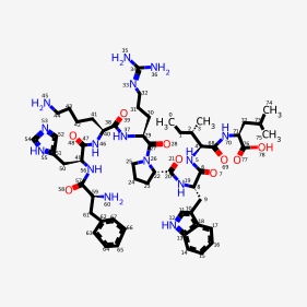 CC[C@H](C)[C@H](NC(=O)[C@H](Cc1c[nH]c2ccccc12)NC(=O)[C@@H]1CCCN1C(=O)[C@H](CCCN=C(N)N)NC(=O)[C@H](CCCCN)NC(=O)[C@H](Cc1cnc[nH]1)NC(=O)[C@@H](N)Cc1ccccc1)C(=O)N[C@@H](CC(C)C)C(=O)O